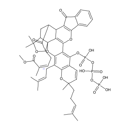 COC(=O)/C(C)=C\CC12OC(C)(C)C3CC(C1=O)C1C4=C(OC5=C1C32Oc1c(CC=C(C)C)c2c(c(OP(=O)(O)OP(=O)(O)OP(=O)(O)O)c15)C=CC(C)(CCC=C(C)C)O2)c1ccccc1C4=O